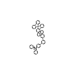 c1ccc(N(c2ccccc2)c2ccc(-c3cccc(-c4ccc5c(c4)Oc4ccc6c(c4O5)-c4ccccc4C64c5ccccc5-c5ccccc54)c3)cc2)cc1